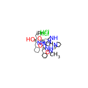 CC(C)CC[C@H](O)C(CC1CCCCC1)NC(=O)[C@H](Cc1c[nH]cn1)N(C)C(=O)[C@H](Cc1ccccc1)NC(=O)N(C)CCc1ccccn1.Cl.Cl